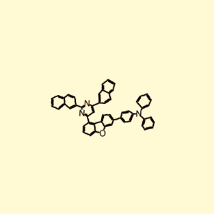 c1ccc(N(c2ccccc2)c2ccc(-c3ccc4c(c3)oc3cccc(-c5cc(-c6ccc7ccccc7c6)nc(-c6ccc7ccccc7c6)n5)c34)cc2)cc1